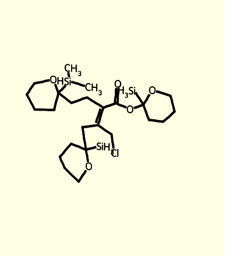 C[SiH](C)C1(CCC(C(=O)OC2([SiH3])CCCCO2)=C(CCl)CC2([SiH3])CCCCO2)CCCCO1